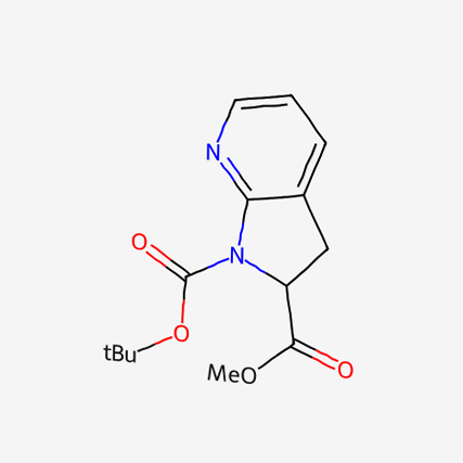 COC(=O)C1Cc2cccnc2N1C(=O)OC(C)(C)C